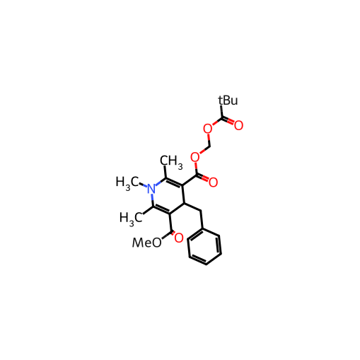 COC(=O)C1=C(C)N(C)C(C)=C(C(=O)OCOC(=O)C(C)(C)C)C1Cc1ccccc1